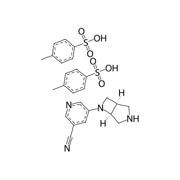 Cc1ccc(S(=O)(=O)O)cc1.Cc1ccc(S(=O)(=O)O)cc1.N#Cc1cncc(N2C[C@H]3CNC[C@H]32)c1